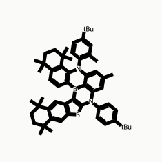 Cc1cc2c3c(c1)N(c1ccc(C(C)(C)C)cc1C)c1c(ccc4c1C(C)(C)CCC4(C)C)B3c1c(sc3cc4c(cc13)C(C)(C)CCC4(C)C)N2c1ccc(C(C)(C)C)cc1